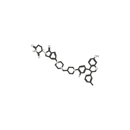 Cc1cccc(C2COc3cc(O)ccc3C2c2ccc(N3CCC(CN4CCN(c5ccc6c(c5)CN([C@H]5CCC(=O)NC5=O)C6=O)CC4)CC3)c(F)c2)c1